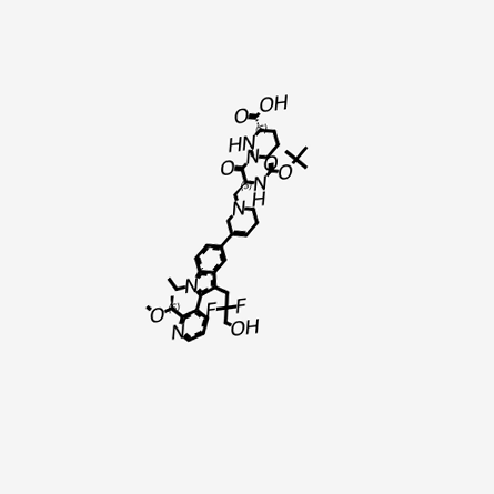 CCn1c(-c2cccnc2[C@H](C)OC)c(CC(F)(F)CO)c2cc(C3=CCCN(C[C@H](NC(=O)OC(C)(C)C)C(=O)N4CCC[C@@H](C(=O)O)N4)C3)ccc21